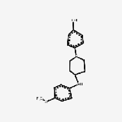 Oc1ccc(N2CCC(Nc3ccc(OC(F)(F)F)cc3)CC2)cc1